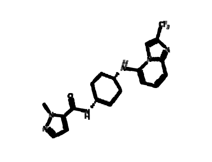 Cn1nccc1C(=O)N[C@H]1CC[C@@H](Nc2cccc3nc(C(F)(F)F)cn23)CC1